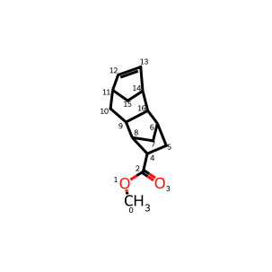 COC(=O)C1CC2CC1C1CC3C=CC(C3)C21